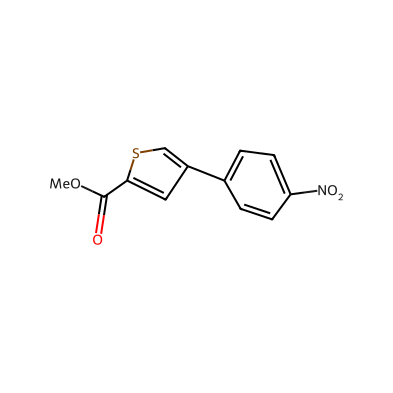 COC(=O)c1cc(-c2ccc([N+](=O)[O-])cc2)cs1